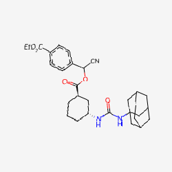 CCOC(=O)c1ccc(C(C#N)OC(=O)[C@@H]2CCC[C@@H](NC(=O)NC34CC5CC(CC(C5)C3)C4)C2)cc1